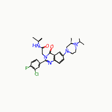 CC(C)NC(=O)Cn1c(-c2ccc(F)c(Cl)c2)nc2ccc(N3CCN(C(C)C)[C@H](C)C3)cc2c1=O